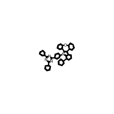 c1ccc(-c2nc(-c3ccccc3)nc(-c3ccc(-n4c5c(c6cccc(-c7ccccc7)c64)-c4ccccc4Oc4ccccc4-5)cc3)n2)cc1